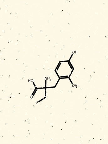 NC(CF)(Cc1ccc(O)cc1O)C(=O)O